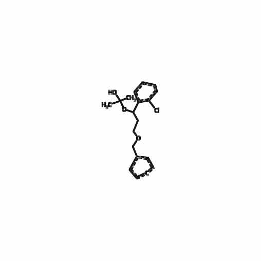 CC(C)(O)OC(CCOCc1ccccc1)c1ccccc1Cl